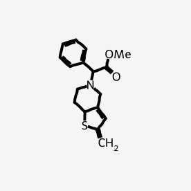 C=C1C=C2CN(C(C(=O)OC)c3ccccc3)CCC2S1